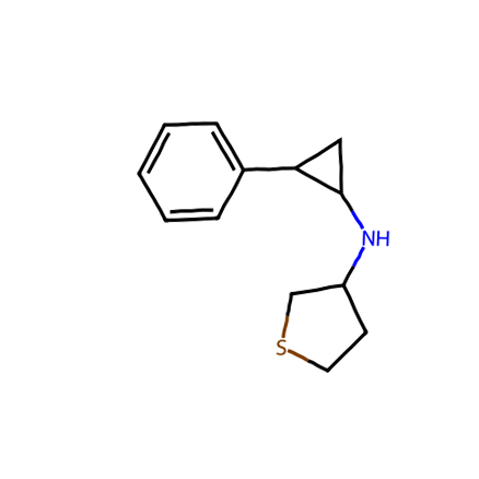 c1ccc(C2CC2NC2CCSC2)cc1